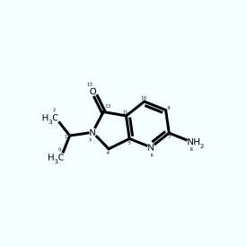 CC(C)N1Cc2nc(N)ccc2C1=O